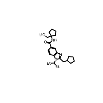 CCC(CC)n1c(CC2CCCC2)nc2cc(C(=O)NC3(CO)CCCC3)ccc21